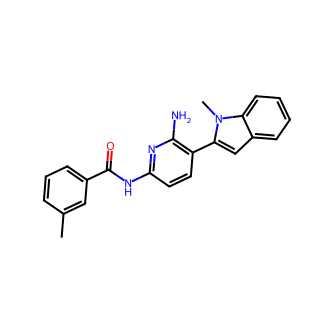 Cc1cccc(C(=O)Nc2ccc(-c3cc4ccccc4n3C)c(N)n2)c1